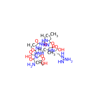 CC(C)C[C@H](NC(=O)CNC(=O)[C@H](C)NC(=O)[C@H](CC(=O)O)NC(=O)[C@H](CC(=O)O)NC(=O)[C@H](C)N)C(=O)N[C@H](C(=O)N[C@@H](CCCNC(=N)N)C(=O)O)C(C)C